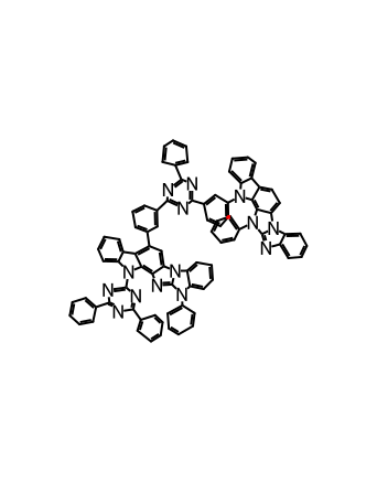 c1ccc(-c2nc(-c3cccc(-c4cc5c(nc6n(-c7ccccc7)c7ccccc7n56)c5c4c4ccccc4n5-c4nc(-c5ccccc5)nc(-c5ccccc5)n4)c3)nc(-c3cccc(-n4c5ccccc5c5ccc6c(c54)n(-c4ccccc4)c4nc5ccccc5n64)c3)n2)cc1